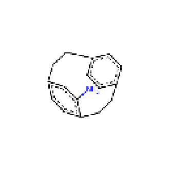 Nc1cc2ccc1CCc1ccc(cc1)CC2